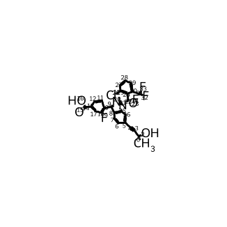 CC(O)C#Cc1ccc2c(-c3ccc(C(=O)O)cc3F)nn(C(=O)c3c(Cl)cccc3C(F)(F)F)c2c1